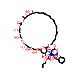 C=CCOC(=O)N[C@@H]1[C@H](O)[C@H](O[C@H]2/C=C/C=C/C=C/C=C/C=C/C=C/C=C/[C@H](C)[C@@H](O)[C@@H](C)C(C)OC(=O)C[C@H](O)C[C@H](O)CC[C@@H](O)[C@H](O)C[C@H](O)C[C@]3(O)C[C@H](O)[C@@H](NC(=O)NCc4ccccc4)[C@H](C2)O3)O[C@H](C)[C@H]1O